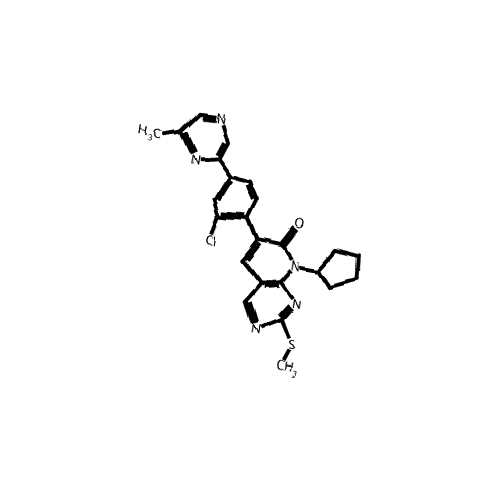 CSc1ncc2cc(-c3ccc(-c4cncc(C)n4)cc3Cl)c(=O)n(C3CCCC3)c2n1